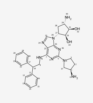 N[C@@H]1CCN(c2nc(NCC(c3ccccc3)c3ccccc3)c3ncn([C@@H]4C[C@H](N)[C@@H](O)[C@H]4O)c3n2)C1